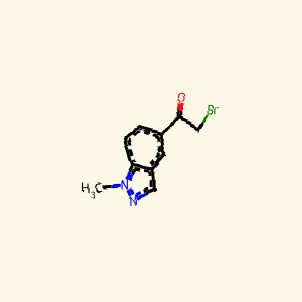 Cn1ncc2cc(C(=O)CBr)ccc21